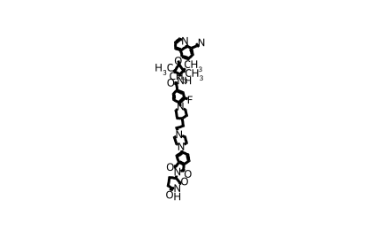 CC1(C)C(NC(=O)c2ccc(N3CCC(CCN4CCN(c5ccc6c(c5)C(=O)N(C5CCC(=O)NC5=O)C6=O)CC4)CC3)c(F)c2)C(C)(C)C1Oc1ccc(C#N)c2ncccc12